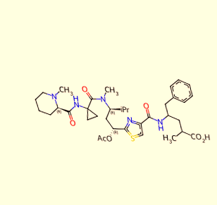 CC(=O)O[C@H](C[C@H](C(C)C)N(C)C(=O)C1(NC(=O)[C@H]2CCCCN2C)CC1)c1nc(C(=O)NC(Cc2ccccc2)CC(C)C(=O)O)cs1